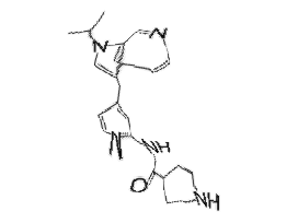 CC(C)n1cc(-c2ccnc(NC(=O)C3CCNCC3)c2)c2ccncc21